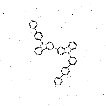 C1=CC(c2ccccc2)CC=C1c1cccc(-n2c3ccccc3c3cc(-c4ccc5c(c4)c4ccccc4n5-c4ccc(-c5ccccc5)cc4)ccc32)c1